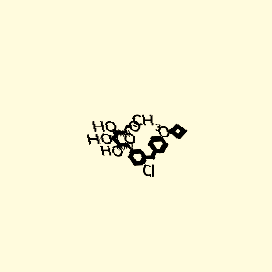 COC[C@H]1O[C@@H](c2ccc(Cl)c(Cc3ccc(OC4CCC4)cc3)c2)[C@H](O)[C@@H](O)[C@@H]1O